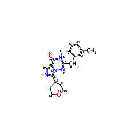 Cc1ccc(Cn2c(C)nn3c(C4CCOCC4)ncc3c2=O)cc1